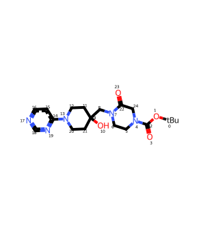 CC(C)(C)OC(=O)N1CCN(CC2(O)CCN(c3ccncn3)CC2)C(=O)C1